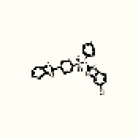 O=S(=O)(c1ccc(-c2nc3ccccc3o2)cc1)N(c1ccccc1)c1nc2cc(Cl)ccc2s1